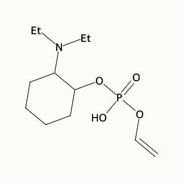 C=COP(=O)(O)OC1CCCCC1N(CC)CC